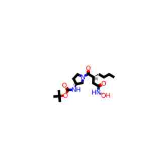 CCCC[C@H](CC(=O)NO)C(=O)N1CC[C@H](NC(=O)OC(C)(C)C)C1